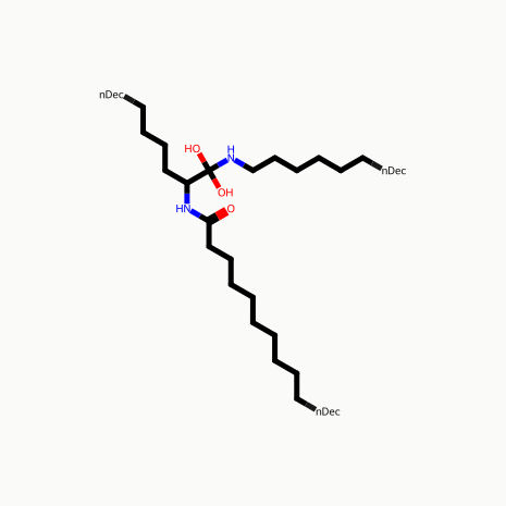 CCCCCCCCCCCCCCCCCCCC(=O)NC(CCCCCCCCCCCCCC)C(O)(O)NCCCCCCCCCCCCCCCC